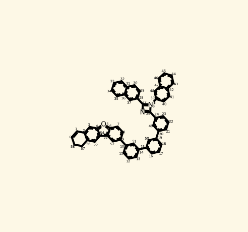 C1=Cc2cc3oc4ccc(-c5cccc(-c6cccc(-c7cccc(C8=NC(c9ccc%10ccccc%10c9)=[N+]8c8ccc9ccccc9c8)c7)c6)c5)cc4c3cc2CC1